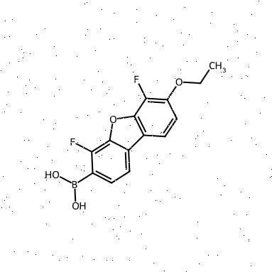 CCOc1ccc2c(oc3c(F)c(B(O)O)ccc32)c1F